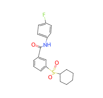 O=C(Nc1ccc(F)cc1)c1cccc(S(=O)(=O)C2CCCCC2)c1